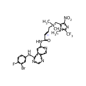 Cn1c(C(F)(F)F)nc([N+](=O)[O-])c1C[N+](C)(C)C/C=C/C(=O)Nc1cc2c(Nc3ccc(F)c(Br)c3)ncnc2cn1